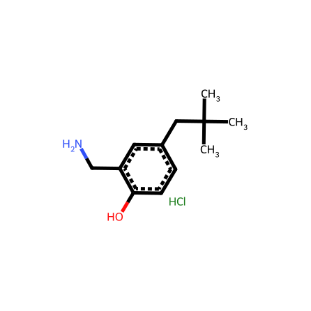 CC(C)(C)Cc1ccc(O)c(CN)c1.Cl